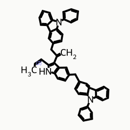 C=C(Cc1ccc2c(c1)c1ccccc1n2-c1ccccc1)c1c(/C=C\C)[nH]c2ccc(Cc3ccc4c(c3)c3ccccc3n4-c3ccccc3)cc12